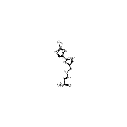 [NH]C(=O)C=NOCc1c[nH]c(-c2csc(N)n2)n1